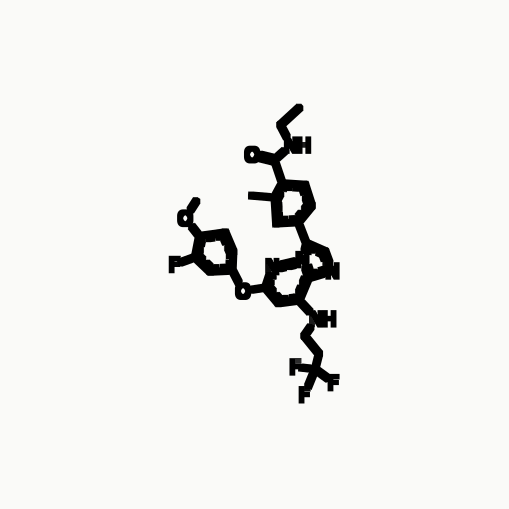 CCNC(=O)c1ccc(-c2cnc3c(NCCC(F)(F)F)cc(Oc4ccc(OC)c(F)c4)nn23)cc1C